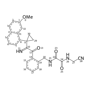 COc1ccc2cccc(C3(C(=N)C(=O)c4ccccc4CNC(=O)C(=O)NCC#N)CC3)c2c1